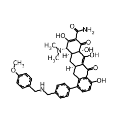 COc1ccc(CNCc2ccc(-c3ccc(O)c4c3C[C@H]3C[C@H]5[C@H](N(C)C)C(O)=C(C(N)=O)C(=O)[C@@]5(O)C(O)=C3C4=O)cc2)cc1